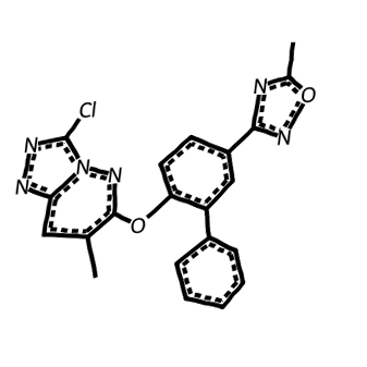 Cc1nc(-c2ccc(Oc3nn4c(Cl)nnc4cc3C)c(-c3ccccc3)c2)no1